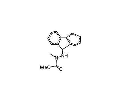 COC(=O)N(C)NC1c2ccccc2-c2ccccc21